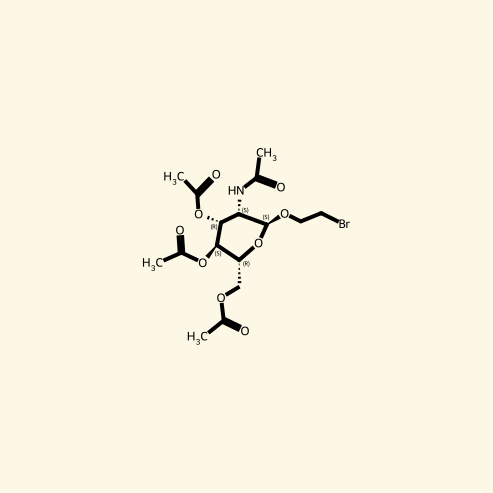 CC(=O)N[C@@H]1[C@@H](OCCBr)O[C@H](COC(C)=O)[C@@H](OC(C)=O)[C@@H]1OC(C)=O